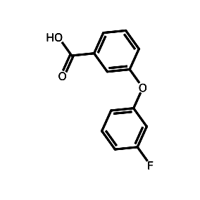 O=C(O)c1cccc(Oc2cccc(F)c2)c1